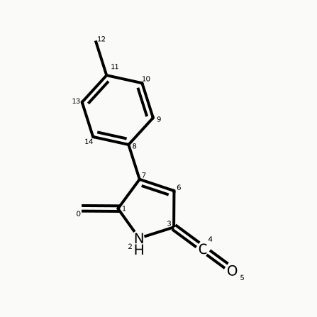 C=c1[nH]c(=C=O)cc1-c1ccc(C)cc1